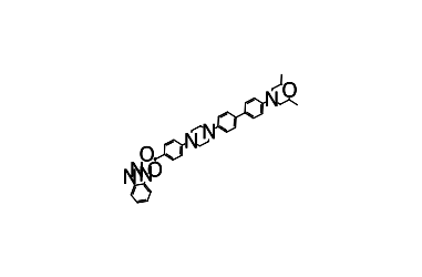 CC1CN(c2ccc(-c3ccc(N4CCN(c5ccc(C(=O)On6nnc7ccccc76)cc5)CC4)cc3)cc2)CC(C)O1